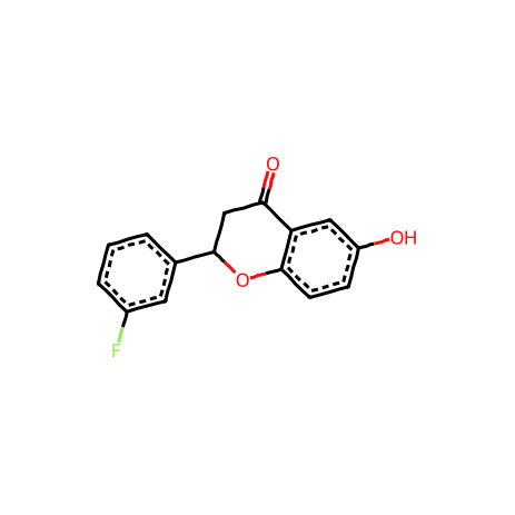 O=C1CC(c2cccc(F)c2)Oc2ccc(O)cc21